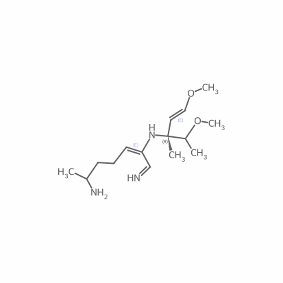 CO/C=C/[C@@](C)(N/C(C=N)=C/CCC(C)N)C(C)OC